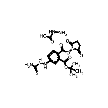 CC(C)(C)OC(=O)c1cc(NNC(N)=S)ccc1C(=O)ON1C(=O)CCC1=O.NNC(=O)O